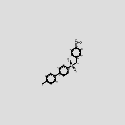 Cc1ccc(-c2ccc(S(=O)(=O)Cc3ccc(C=O)cc3)cc2)cc1